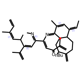 C=C/C(C)=C\C(C)/C(=C\C(=N/C)C1=CC(=O)C(=C)CC(/C(C)=C\C(=C/C)C2CCC(=C)C(CCCC)CC2)=N1)C(=C)C